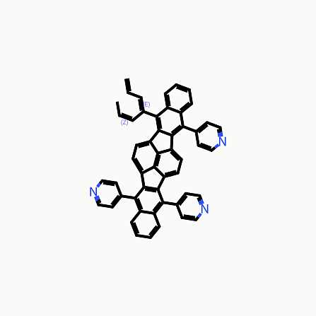 C=C/C=C(\C=C/C)c1c2c(c(-c3ccncc3)c3ccccc13)-c1ccc3c4c(ccc-2c14)-c1c-3c(-c2ccncc2)c2ccccc2c1-c1ccncc1